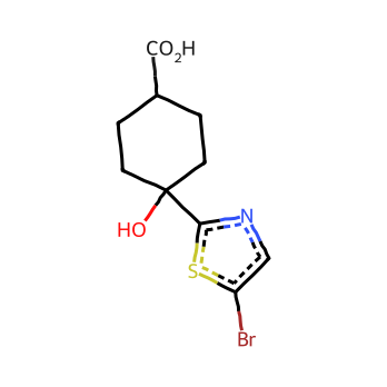 O=C(O)C1CCC(O)(c2ncc(Br)s2)CC1